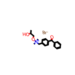 CC(O)CO[N+](C)(C)Cc1ccc(C(=O)c2ccccc2)cc1.[Br-]